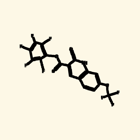 O=C(Oc1c(F)c(F)c(F)c(F)c1F)c1cc2ccc(OC(F)(F)F)cc2[nH]c1=O